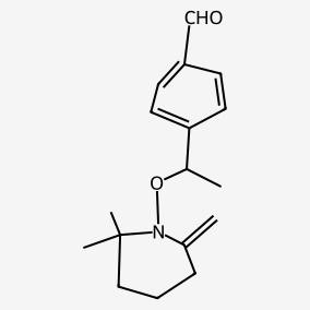 C=C1CCCC(C)(C)N1OC(C)c1ccc(C=O)cc1